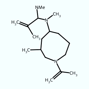 C=C(C)C(NC)N(C)C1CCCN(C(=C)C)CC(C)C1